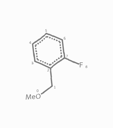 [CH2-][OH+]Cc1ccccc1F